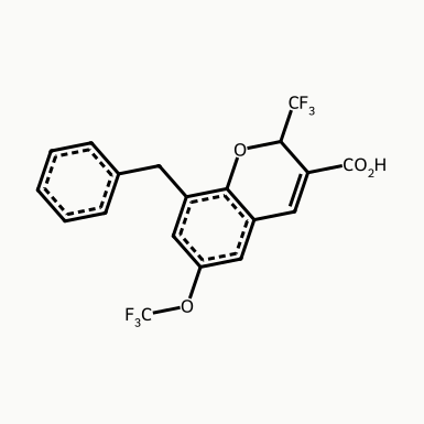 O=C(O)C1=Cc2cc(OC(F)(F)F)cc(Cc3ccccc3)c2OC1C(F)(F)F